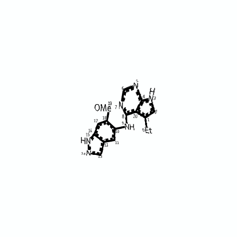 CCc1c[nH]c2ncnc(Nc3cc4cn[nH]c4cc3OC)c12